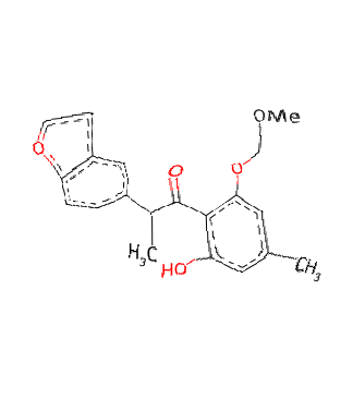 COCOc1cc(C)cc(O)c1C(=O)C(C)c1ccc2occc2c1